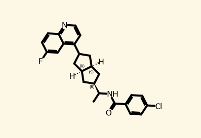 CC(NC(=O)c1ccc(Cl)cc1)[C@H]1C[C@H]2CC(c3ccnc4ccc(F)cc34)C[C@H]2C1